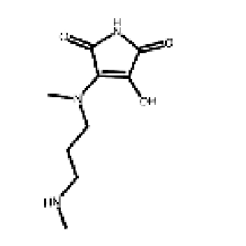 CNCCCN(C)C1=C(O)C(=O)NC1=O